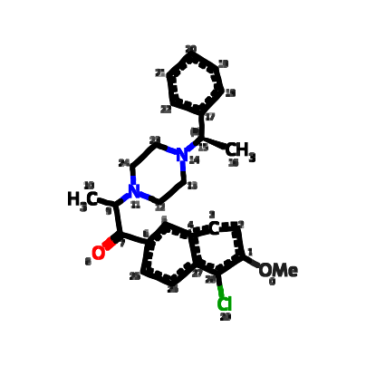 COc1ccc2cc(C(=O)C(C)N3CCN([C@H](C)c4ccccc4)CC3)ccc2c1Cl